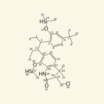 CCC(c1ccc(C(C)(C)C)cc1O[SiH](C)C)C(CC)c1ccc(C(C)(C)C)c(NC(=O)CCCl)c1O[SiH](C)C